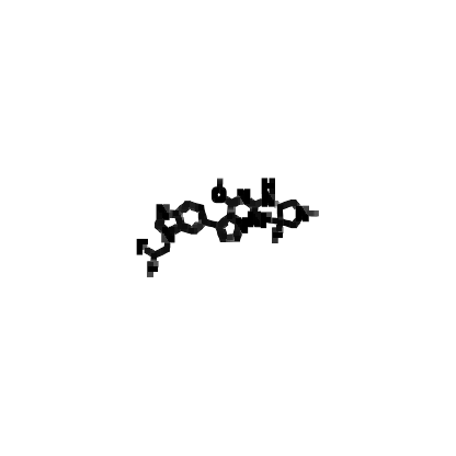 COc1nc(N[C@@H]2CN(C)CC2(F)F)nn2ccc(-c3ccc4ncn(CC(F)F)c4c3)c12